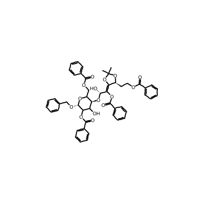 CC1(C)O/C(=C(/OC(=O)c2ccccc2)[C@@H](O)O[C@@H]2C(COC(=O)c3ccccc3)O[C@@H](OCc3ccccc3)C(OC(=O)c3ccccc3)C2O)[C@H](CCOC(=O)c2ccccc2)O1